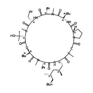 CC[C@H](C)C[C@H](C)C[C@H](C)C[C@@H]1NC(=O)[C@H](C(C)C)N(C)C(=O)[C@@H]([C@H](C)CC)OC(=O)[C@H](C(C)(C)O)N(C)C(=O)[C@H](CC(C)C)NC(=O)[C@H](C(C)C)N(C)C(=O)[C@H]([C@H](C)CC)NC(=O)[C@@H]2CCCN2C(=O)CN(C)C1=O